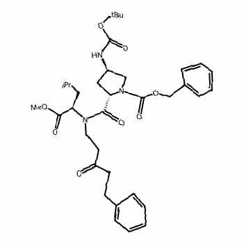 COC(=O)[C@@H](CC(C)C)N(CCC(=O)CCc1ccccc1)C(=O)[C@@H]1C[C@@H](NC(=O)OC(C)(C)C)CN1C(=O)OCc1ccccc1